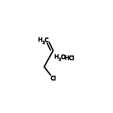 C=CCCl.Cl.O